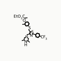 CCOC(=O)C(C)Oc1ccc(SCc2sc(-c3ccc(C(F)(F)F)cc3)nc2CN2CC(C)NC(C)C2)cc1C